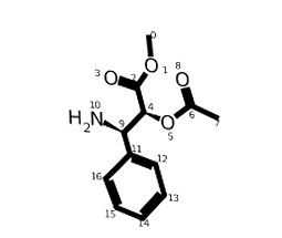 COC(=O)[C@@H](OC(C)=O)[C@H](N)c1ccccc1